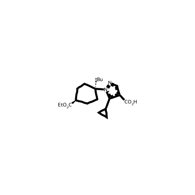 CCOC(=O)[C@H]1CC[C@](n2ncc(C(=O)O)c2C2CC2)(C(C)(C)C)CC1